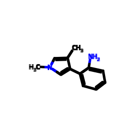 Cc1cn(C)cc1-c1ccccc1N